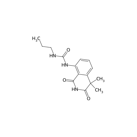 CCCNC(=O)Nc1cccc2c1C(=O)NC(=O)C2(C)C